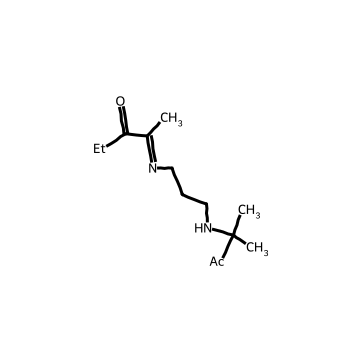 CCC(=O)C(C)=NCCCNC(C)(C)C(C)=O